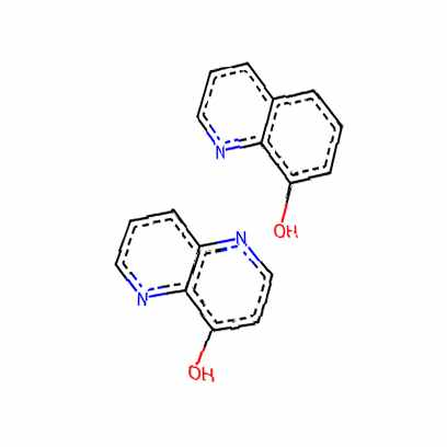 Oc1cccc2cccnc12.Oc1ccnc2cccnc12